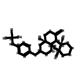 O=C1CC[C@@H]2CN(Cc3ccc(OC(F)(F)F)cc3)CC[C@@]23O[C@H]2CCCC[C@@H]2N13